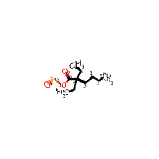 CCCCC(CC)(CC)C(=O)OP=O